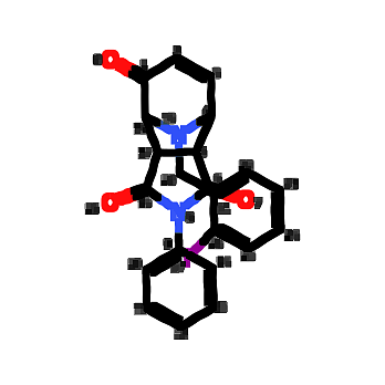 O=C1C=CC2C3C(=O)N(c4ccccc4)C(=O)C3C1N2Cc1ccccc1I